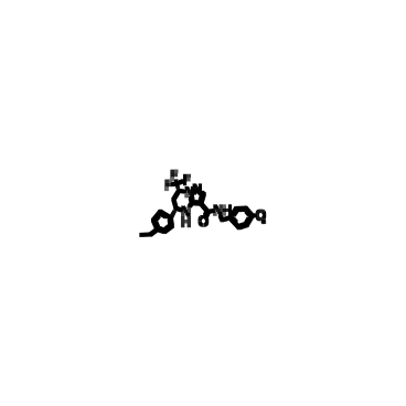 CCc1ccc([C@H]2C[C@@H](C(F)(F)F)n3ncc(C(=O)NCc4ccc(OC)cc4)c3N2)cc1